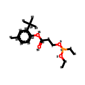 CCOP(CC)OCCC(=O)Oc1ccc(C)cc1C(C)(C)C